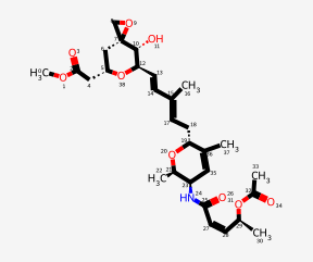 COC(=O)C[C@@H]1C[C@@]2(CO2)[C@H](O)[C@@H](/C=C/C(C)=C/C[C@H]2O[C@H](C)[C@H](NC(=O)/C=C\[C@H](C)OC(C)=O)C=C2C)O1